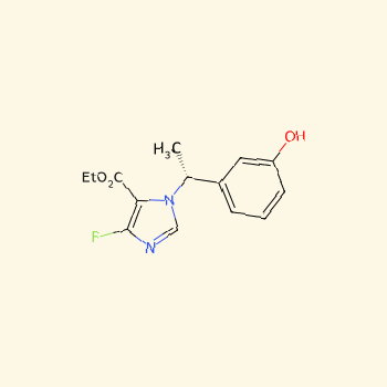 CCOC(=O)c1c(F)ncn1[C@H](C)c1cccc(O)c1